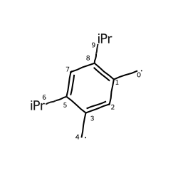 [CH2]c1cc([CH2])c(C(C)C)cc1C(C)C